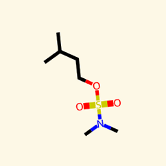 CC(C)CCOS(=O)(=O)N(C)C